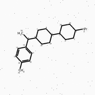 CCCC1CCC(C2CCC(C(C)c3ccc(C)cc3)CC2)CC1